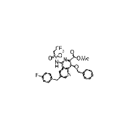 COC(=O)c1nc(NS(=O)(=O)CC(F)(F)F)c2cc(Cc3ccc(F)cc3)cnc2c1OCc1ccccc1